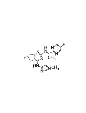 C[C@H](Nc1nc2c(c(Nc3cn(C)cn3)n1)CNC2)c1ncc(F)cn1